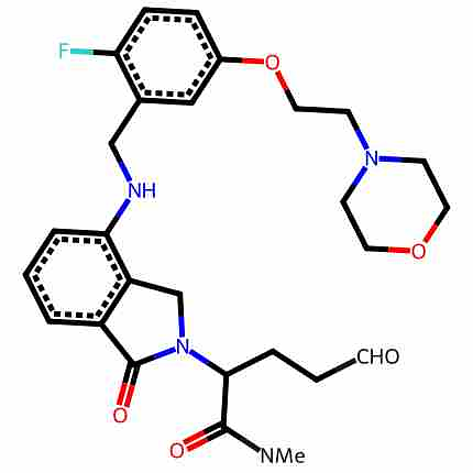 CNC(=O)C(CCC=O)N1Cc2c(NCc3cc(OCCN4CCOCC4)ccc3F)cccc2C1=O